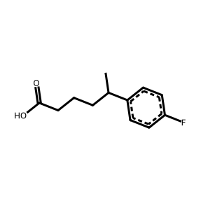 CC(CCCC(=O)O)c1ccc(F)cc1